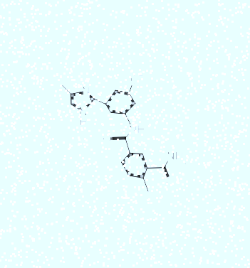 Cc1c[nH]c(-c2cc(NC(=O)c3ccc(C)c(C(N)=O)c3)cc(C(F)(F)F)c2)n1